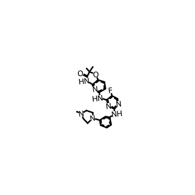 CN1CCN(c2cccc(Nc3ncc(F)c(Nc4ccc5c(n4)NC(=O)C(C)(C)O5)n3)c2)CC1